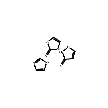 S=c1[nH]cco1.S=c1cco[nH]1.c1c[nH]cn1